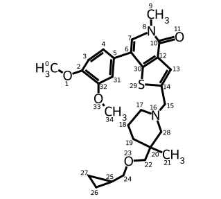 COc1ccc(-c2cn(C)c(=O)c3cc(CN4CCCC(C)(COCC5CC5)C4)sc23)cc1OC